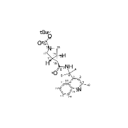 Cc1cc(C(C)(C)NC(=O)[C@H]2[C@@H]3CN(C(=O)OC(C)(C)C)C[C@@H]32)c2ccccc2n1